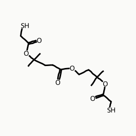 CC(C)(CCOC(=O)CCC(C)(C)OC(=O)CS)OC(=O)CS